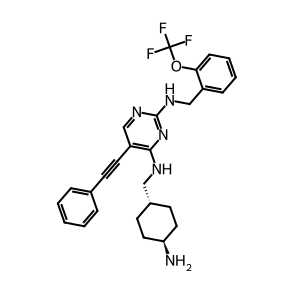 N[C@H]1CC[C@H](CNc2nc(NCc3ccccc3OC(F)(F)F)ncc2C#Cc2ccccc2)CC1